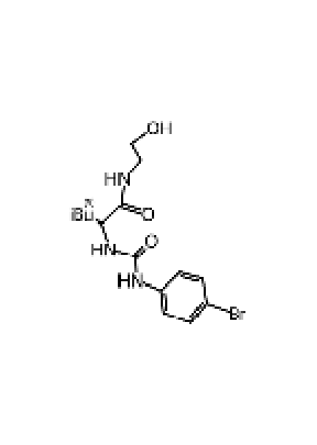 CC[C@H](C)C(NC(=O)Nc1ccc(Br)cc1)C(=O)NCCO